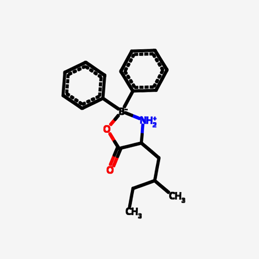 CCC(C)CC1[NH2+][B-](c2ccccc2)(c2ccccc2)OC1=O